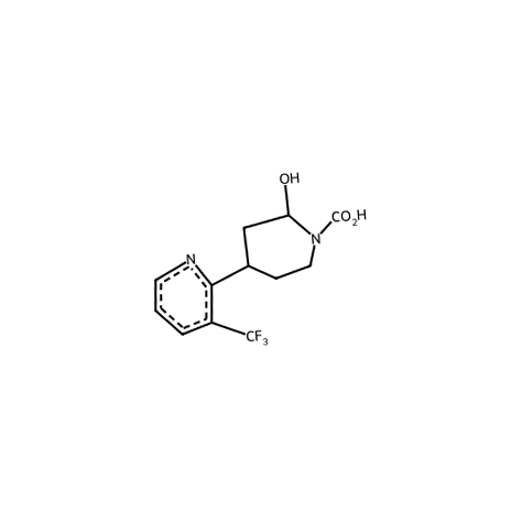 O=C(O)N1CCC(c2ncccc2C(F)(F)F)CC1O